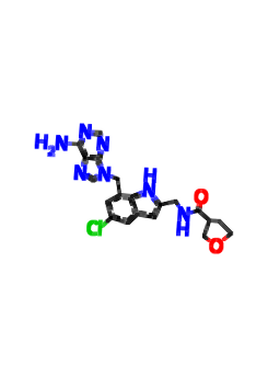 Nc1ncnc2c1ncn2Cc1cc(Cl)cc2cc(CNC(=O)C3CCOC3)[nH]c12